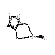 N#CB1CCc2cn[nH]c2C1